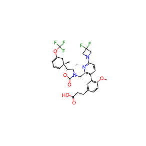 COc1ccc(CCC(=O)O)cc1-c1ccc(N2CC(F)(F)C2)nc1CN1C(=O)O[C@H]([C@]2(C)C=CC=C(OC(F)(F)F)C2)[C@@H]1C